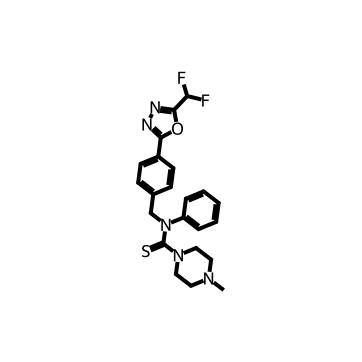 CN1CCN(C(=S)N(Cc2ccc(-c3nnc(C(F)F)o3)cc2)c2ccccc2)CC1